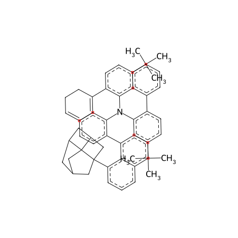 CC(C)(C)c1ccc(C2=CC=CCC2)c(N(c2cc(C(C)(C)C)ccc2-c2ccccc2)c2ccccc2-c2cccc3cccc(C45CC6CC7CC(C4)C75C6)c23)c1